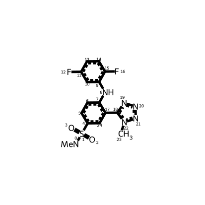 CNS(=O)(=O)c1ccc(Nc2cc(F)ccc2F)c(-c2nnnn2C)c1